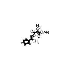 C=C(C(=O)OC)C(=O)OCC(C)c1ccccc1